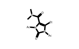 CCc1c(C(=O)N(C)C)n(C(C)=O)c(=O)n1C(C)=O